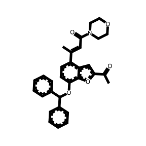 CC(=O)c1cc2c(C(C)=CC(=O)N3CCOCC3)ccc(OC(c3ccccc3)c3ccccc3)c2o1